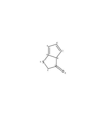 O=C1CSC2=CC=CC12